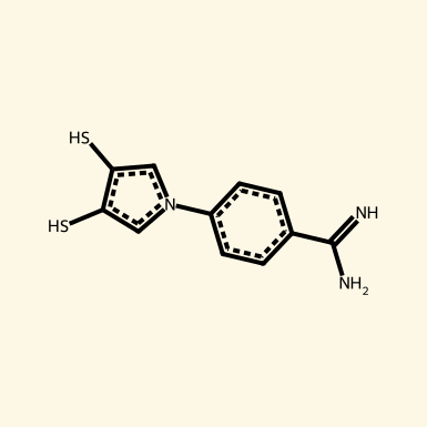 N=C(N)c1ccc(-n2cc(S)c(S)c2)cc1